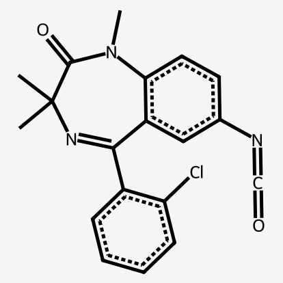 CN1C(=O)C(C)(C)N=C(c2ccccc2Cl)c2cc(N=C=O)ccc21